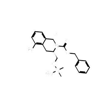 C[C@H]1c2cccc(Br)c2C[C@H](CO[Si](C)(C)C(C)(C)C)N1C(=O)OCc1ccccc1